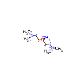 CN(C)CCOCCN(C)C.N